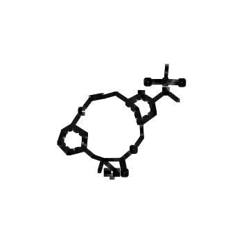 CN(c1cc2cc(n1)C/C=C\Cc1cccc(c1)CC(C)(N)C(=O)OC2)S(C)(=O)=O